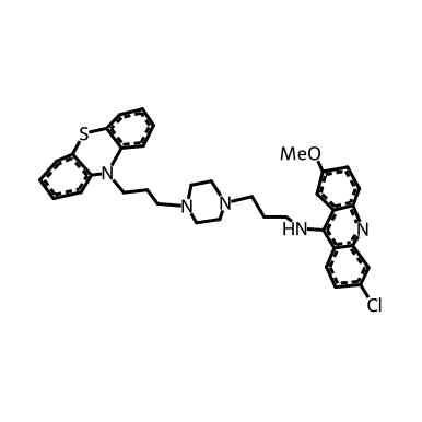 COc1ccc2nc3cc(Cl)ccc3c(NCCCN3CCN(CCCN4c5ccccc5Sc5ccccc54)CC3)c2c1